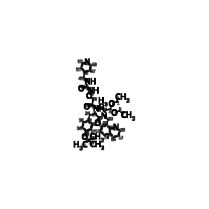 CCOC(OCC)C(C)N(Cc1cccc2cccnc12)C(=O)C(Cc1ccc(OC(C)(C)C)cc1)NC(=O)CONC(=O)NCc1ccncc1